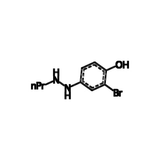 CCCNNc1ccc(O)c(Br)c1